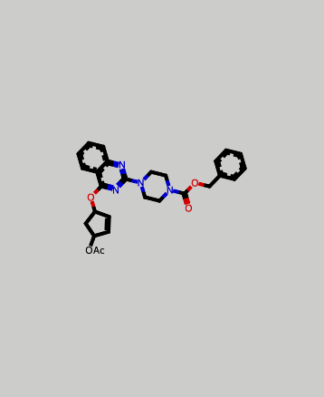 CC(=O)OC1C=CC(Oc2nc(N3CCN(C(=O)OCc4ccccc4)CC3)nc3ccccc23)C1